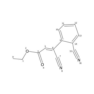 CCOC(=O)C=C(C#N)c1ccccc1C#N